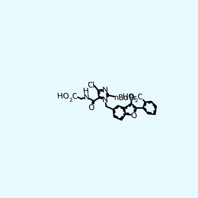 CCCCc1nc(Cl)c(C(=O)NCC(=O)O)n1Cc1ccc2oc(-c3ccccc3C(=O)O)c(Br)c2c1